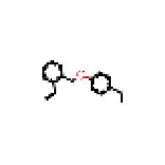 C=Cc1ccccc1COc1ccc(CC)cc1